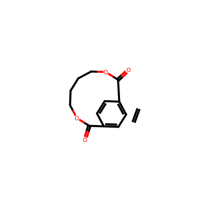 C=C.O=C1OCCCCOC(=O)c2ccc1cc2